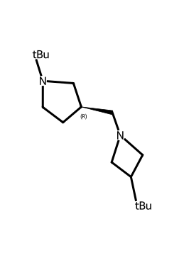 CC(C)(C)C1CN(C[C@H]2CCN(C(C)(C)C)C2)C1